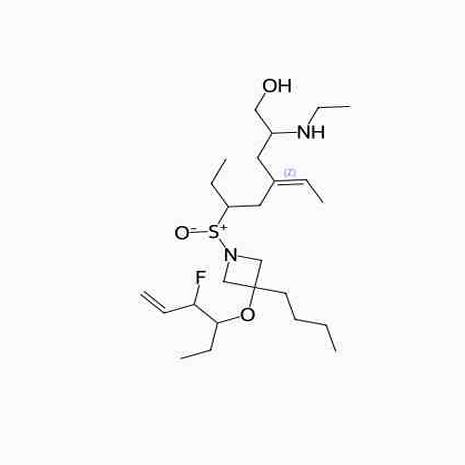 C=CC(F)C(CC)OC1(CCCC)CN([S+]([O-])C(CC)C/C(=C\C)CC(CO)NCC)C1